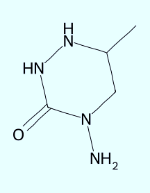 CC1CN(N)C(=O)NN1